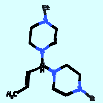 CC=C[SiH](N1CCN(CC)CC1)N1CCN(CC)CC1